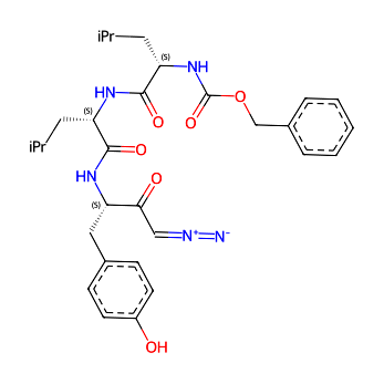 CC(C)C[C@H](NC(=O)OCc1ccccc1)C(=O)N[C@@H](CC(C)C)C(=O)N[C@@H](Cc1ccc(O)cc1)C(=O)C=[N+]=[N-]